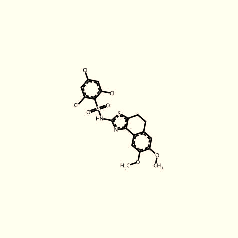 COc1cc2c(cc1OC)-c1nc(NS(=O)(=O)c3c(Cl)cc(Cl)cc3Cl)sc1CC2